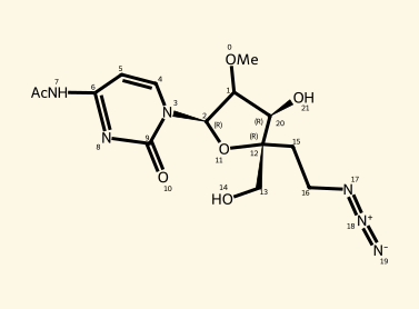 COC1[C@H](n2ccc(NC(C)=O)nc2=O)O[C@@](CO)(CCN=[N+]=[N-])[C@@H]1O